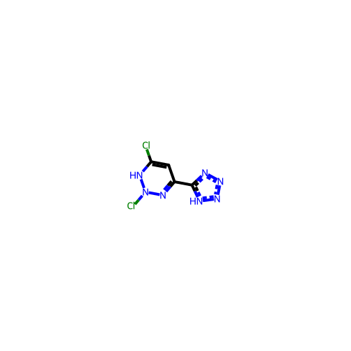 ClC1=CC(c2nnn[nH]2)=NN(Cl)N1